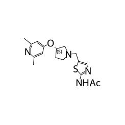 CC(=O)Nc1ncc(CN2CC[C@H](Oc3cc(C)nc(C)c3)C2)s1